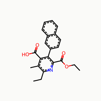 CCOC(=O)c1nc(CC)c(C)c(C(=O)O)c1-c1ccc2ccccc2c1